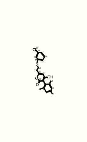 Cc1cc(C)c(-c2c(O)cc(CCSc3cccc(Cl)c3)oc2=O)c(C)c1